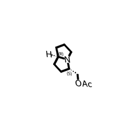 CC(=O)OC[C@@H]1CC[C@H]2CCCN21